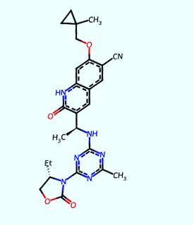 CC[C@H]1COC(=O)N1c1nc(C)nc(N[C@@H](C)c2cc3cc(C#N)c(OCC4(C)CC4)cc3[nH]c2=O)n1